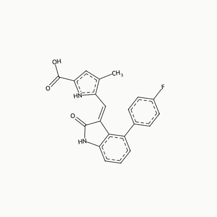 Cc1cc(C(=O)O)[nH]c1C=C1C(=O)Nc2cccc(-c3ccc(F)cc3)c21